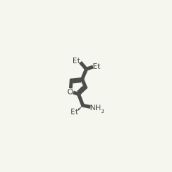 CCC(CC)c1coc([C@H](N)CC)c1